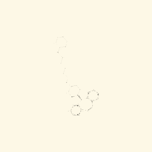 C1=Cc2ccccc2C(=C2CCN(CCCCCCCC3CCCCC3)CC2)c2ccccc21